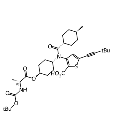 C[C@@H](NC(=O)OC(C)(C)C)C(=O)O[C@H]1CC[C@H](N(c2cc(C#CC(C)(C)C)sc2C(=O)O)C(=O)[C@H]2CC[C@H](C)CC2)CC1